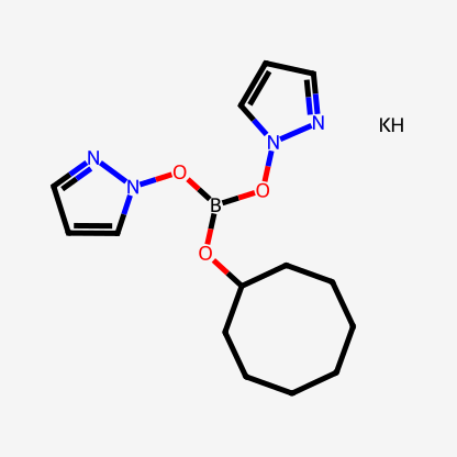 [KH].c1cnn(OB(OC2CCCCCCC2)On2cccn2)c1